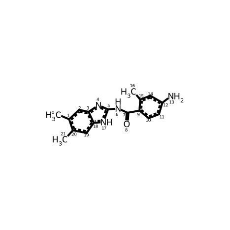 Cc1cc2nc(NC(=O)c3ccc(N)cc3C)[nH]c2cc1C